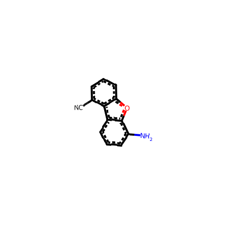 N#Cc1cccc2oc3c(N)cccc3c12